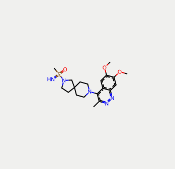 COc1cc2nnc(C)c(N3CCC4(CC3)CCN(S(C)(=N)=O)C4)c2cc1OC